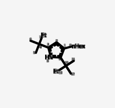 CCCCCCc1cc(C(C)(C)CC)[nH]c1C(C)(C)CC